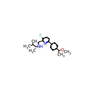 COC(C)c1ccc(-c2ccc(F)c(CN[C@H](C)C(C)C)n2)cc1